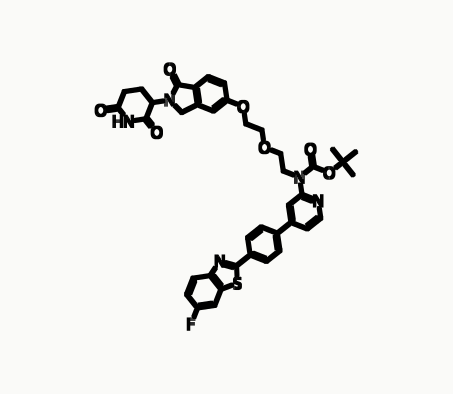 CC(C)(C)OC(=O)N(CCOCCOc1ccc2c(c1)CN(C1CCC(=O)NC1=O)C2=O)c1cc(-c2ccc(-c3nc4ccc(F)cc4s3)cc2)ccn1